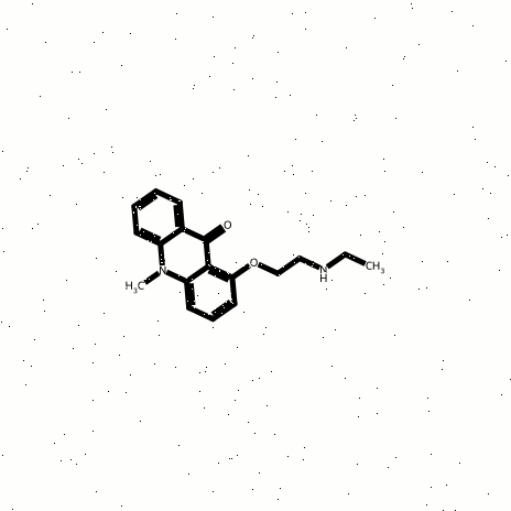 CCNCCOc1cccc2c1c(=O)c1ccccc1n2C